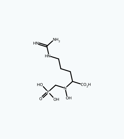 N=C(N)NCCCC(C(=O)O)N(O)CP(=O)(O)O